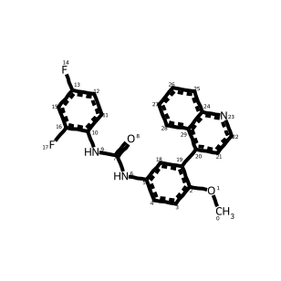 COc1ccc(NC(=O)Nc2ccc(F)cc2F)cc1-c1ccnc2ccccc12